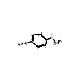 CCCNc1ccc(NC)cc1